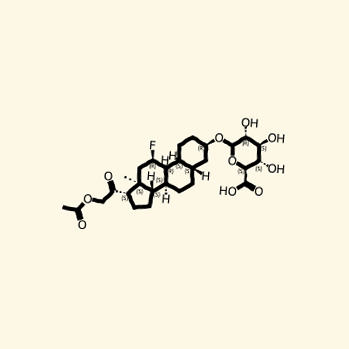 CC(=O)OCC(=O)[C@H]1CC[C@H]2[C@@H]3CC[C@H]4C[C@H](OC5O[C@H](C(=O)O)[C@@H](O)[C@H](O)[C@H]5O)CC[C@@H]4[C@H]3[C@H](F)C[C@]12C